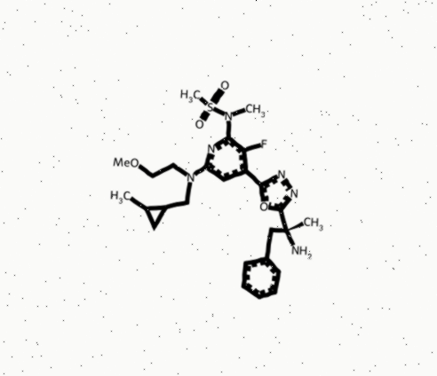 COCCN(CC1CC1C)c1cc(-c2nnc([C@](C)(N)Cc3ccccc3)o2)c(F)c(N(C)S(C)(=O)=O)n1